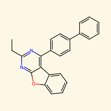 CCc1nc(-c2ccc(-c3ccccc3)cc2)c2c(n1)oc1ccccc12